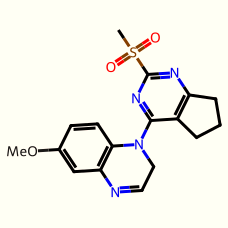 COc1ccc2c(c1)N=CCN2c1nc(S(C)(=O)=O)nc2c1CCC2